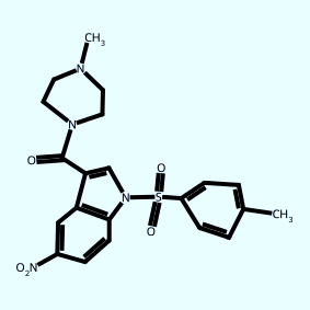 Cc1ccc(S(=O)(=O)n2cc(C(=O)N3CCN(C)CC3)c3cc([N+](=O)[O-])ccc32)cc1